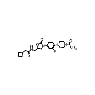 CC(=O)N1CCN(c2ccc(N3CC(CNC(=S)CC4CCC4)OC3=O)cc2F)CC1